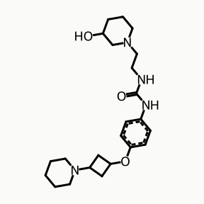 O=C(NCCN1CCCC(O)C1)Nc1ccc(OC2CC(N3CCCCC3)C2)cc1